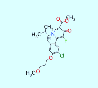 COCCCOc1cc2c(cc1Cl)-c1c(F)c(=O)c(C(=O)OC)cn1[C@@H](C(C)C)C2